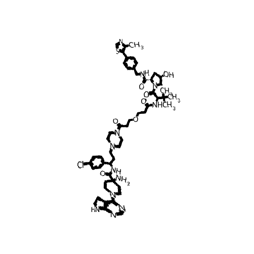 Cc1ncsc1-c1ccc(CNC(=O)[C@@H]2C[C@@H](O)CN2C(=O)C(NC(=O)CCOCCC(=O)N2CCN(CCC(NC(=O)C3(N)CCN(c4ncnc5[nH]ccc45)CC3)c3ccc(Cl)cc3)CC2)C(C)(C)C)cc1